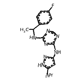 CCCc1cc(Nc2ncnc(NC(C)c3ccc(F)cc3)n2)n[nH]1